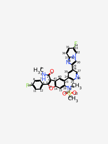 CNC(=O)c1c(-c2ccc(F)cc2)oc2cc(N(C)S(C)(=O)=O)c(-c3cncc(-c4cn5cc(F)ccc5n4)c3)cc12